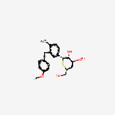 CCOc1ccc(Cc2cc([C@@H]3S[C@H](CO)C[C@H](O)[C@H]3O)ccc2OC)cc1